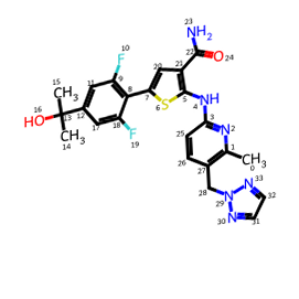 Cc1nc(Nc2sc(-c3c(F)cc(C(C)(C)O)cc3F)cc2C(N)=O)ccc1Cn1nccn1